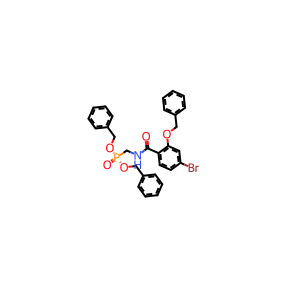 O=C(NCP(=O)(OCc1ccccc1)OCc1ccccc1)c1ccc(Br)cc1OCc1ccccc1